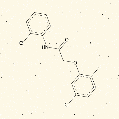 Cc1ccc(Cl)cc1OCC(=O)Nc1ccccc1Cl